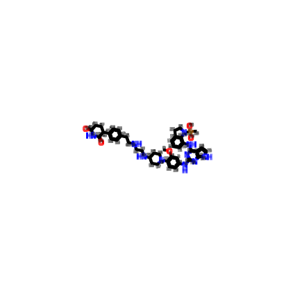 COc1cc(Nc2nc(Nc3cccc4c3N(S(C)(=O)=O)CC4)c3cc[nH]c3n2)ccc1N1CCC(NCCNCCc2ccc(C3CCC(=O)NC3=O)cc2)CC1